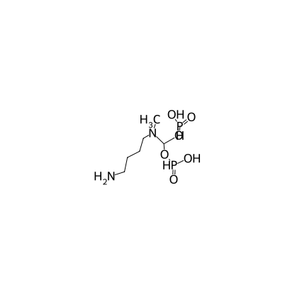 CN(CCCCN)C(O[PH](=O)O)O[PH](=O)O